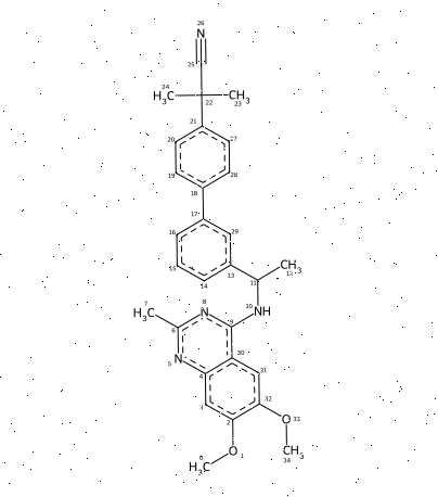 COc1cc2nc(C)nc(NC(C)c3cccc(-c4ccc(C(C)(C)C#N)cc4)c3)c2cc1OC